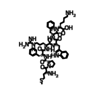 CSCC[C@H](N)C(=O)N1CCC[C@H]1C(=O)N[C@H](Cc1ccccc1)C(=O)N[C@@H](CCCNC(=N)N)C(=O)N[C@H](Cc1c[nH]c2ccccc12)C(=O)N[C@@H](Cc1ccccc1)C(=O)N[C@@H](CCCCN)C(=O)O